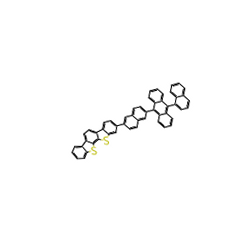 c1ccc2c(-c3c4ccccc4c(-c4ccc5cc(-c6ccc7c(c6)sc6c7ccc7c8ccccc8sc76)ccc5c4)c4ccccc34)cccc2c1